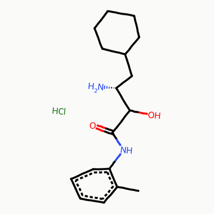 Cc1ccccc1NC(=O)C(O)[C@H](N)CC1CCCCC1.Cl